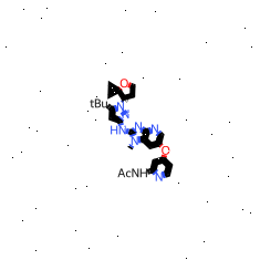 CC(=O)Nc1cc(Oc2cnc3nc(Nc4cc(C(C)(C)C)n([C@@H]5CCOC56CC6)n4)n(C)c3c2)ccn1